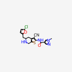 Cn1cc(C(=O)Nc2sc3c(c2C#N)CC(Cc2ccc(Cl)o2)NC3)cn1